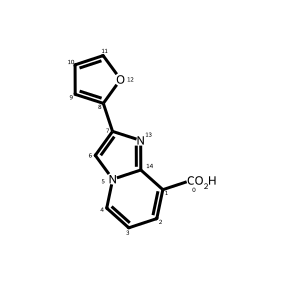 O=C(O)c1cccn2cc(-c3ccco3)nc12